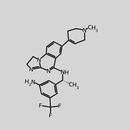 C[C@@H](NC1=NC2=NCCN2c2ccc(C3=CCN(C)CC3)cc21)c1cc(N)cc(C(F)(F)F)c1